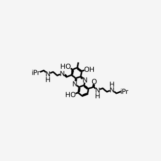 Cc1c(O)c(C=NCCNCC(C)C)c2nc3c(O)ccc(C(=O)NCCNCC(C)C)c3nc2c1O